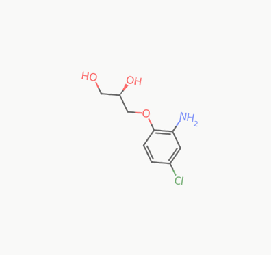 Nc1cc(Cl)ccc1OC[C@H](O)CO